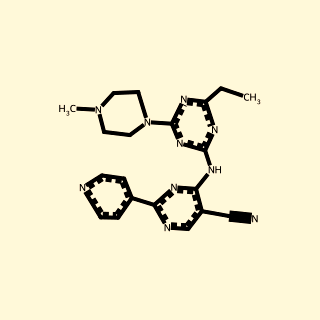 CCc1nc(Nc2nc(-c3ccncc3)ncc2C#N)nc(N2CCN(C)CC2)n1